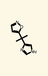 CC(C)(c1c[nH]cn1)c1ccno1